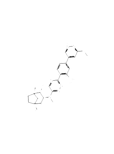 CSc1cc(-c2ccc(-c3ncc(N(C)[C@H]4C[C@]5(C)CC[C@@](C)(C5)[C@H]4F)nn3)c(O)c2)cnn1